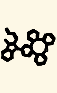 C=C/C=C\c1c(C)c2ccccc2n1-c1ccc2c3ccccc3oc3ccccc3c3ccccc3c2c1